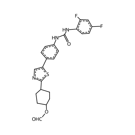 O=COC1CCC(c2ncc(-c3ccc(NC(=O)Nc4ccc(F)cc4F)cc3)s2)CC1